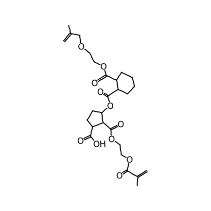 C=C(C)COCCOC(=O)C1CCCCC1C(=O)OC1CCC(C(=O)O)C1C(=O)OCCOC(=O)C(=C)C